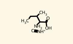 CCC(C)C(N)C(=O)O.[C-]#[NH+]